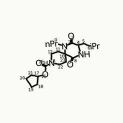 CCCN1C(=O)C(CC(C)C)NC(=O)C12CCN(C(=O)OC1CCCC1)CC2